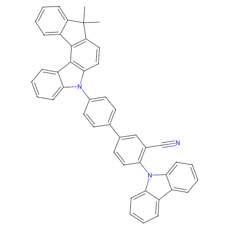 CC1(C)c2ccccc2-c2c1ccc1c2c2ccccc2n1-c1ccc(-c2ccc(-n3c4ccccc4c4ccccc43)c(C#N)c2)cc1